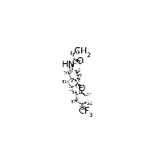 C=CC(=O)Nc1ccc2c(c1)CCC2Oc1ccc(C(F)(F)F)cc1